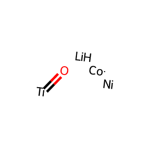 [Co].[LiH].[Ni].[O]=[Ti]